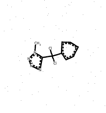 Cn1nnnc1C(Cl)(Cl)c1ccccc1